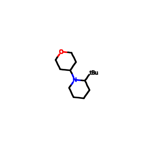 CC(C)(C)C1CCCCN1C1CCOCC1